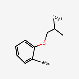 CCCCCCCCCc1ccccc1OCC(C)S(=O)(=O)O